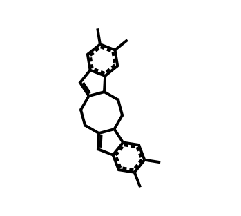 Cc1cc2c(cc1C)C1CCC3C(=Cc4cc(C)c(C)cc43)CCC1=C2